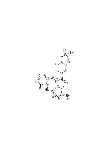 O=C(C1CCN(CC(F)(F)F)CC1)N1Cc2cccnc2Nc2ccc(Br)cc21